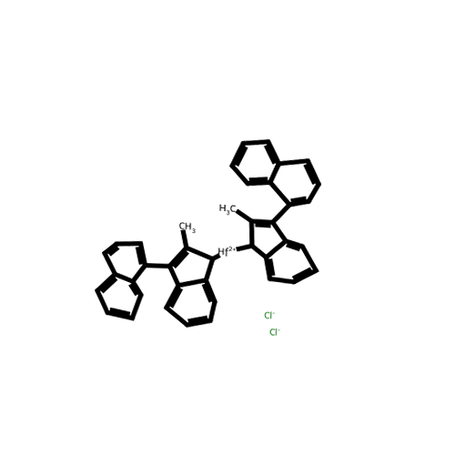 CC1=C(c2cccc3ccccc23)c2ccccc2[CH]1[Hf+2][CH]1C(C)=C(c2cccc3ccccc23)c2ccccc21.[Cl-].[Cl-]